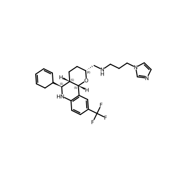 FC(F)(F)c1ccc2c(c1)[C@H]1O[C@@H](CNCCCn3ccnc3)CC[C@H]1[C@H](C1C=CC=CC1)N2